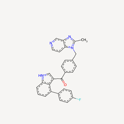 Cc1nc2cnccc2n1Cc1ccc(C(=O)c2c[nH]c3cccc(-c4ccc(F)cc4)c23)cc1